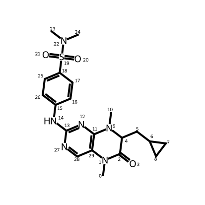 CN1C(=O)C(CC2CC2)N(C)c2nc(Nc3ccc(S(=O)(=O)N(C)C)cc3)ncc21